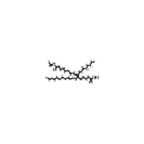 CCCCCCCC/C=C/CCCCCCCC(=O)O.CCCCCCCC/C=C\CCCCCCCC(=O)OCC